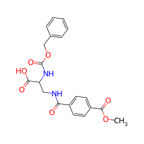 COC(=O)c1ccc(C(=O)NCC(NC(=O)OCc2ccccc2)C(=O)O)cc1